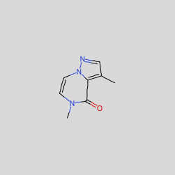 Cc1cnn2ccn(C)c(=O)c12